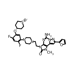 Cn1c(=O)n(CCN2CCN(c3cc(O[C@H]4CC[S@+]([O-])CC4)c(F)cc3F)CC2)c2nc(N)n3nc(-c4ccco4)cc3c21